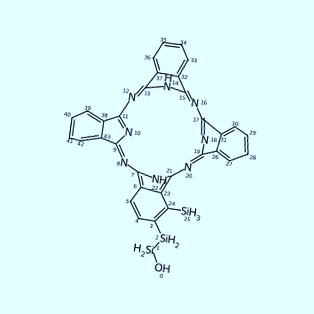 O[SiH2][SiH2]c1ccc2c3nc4nc(nc5[nH]c(nc6nc(nc([nH]3)c2c1[SiH3])-c1ccccc1-6)c1ccccc51)-c1ccccc1-4